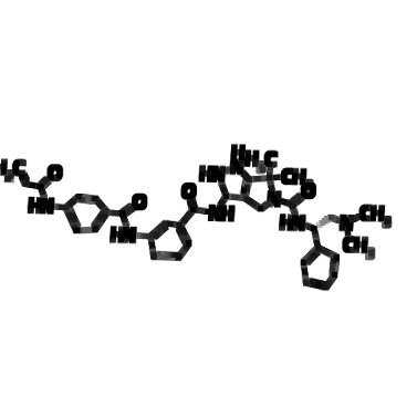 C=CC(=O)Nc1ccc(C(=O)Nc2cccc(C(=O)NC3NNC4=C3CN(C(=O)N[C@H](CN(C)C)c3ccccc3)C4(C)C)c2)cc1